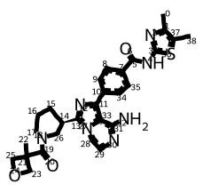 Cc1nc(NC(=O)c2ccc(-c3nc([C@@H]4CCCN(C(=O)C5(C)COC5)C4)n4ccnc(N)c34)cc2)sc1C